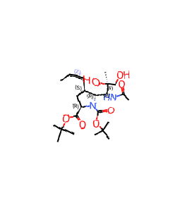 C/C=C\[C@@H]1C[C@H](C(=O)OC(C)(C)C)N(C(=O)OC(C)(C)C)[C@H]1[C@@H](NC(C)=O)[C@@](C)(O)CO